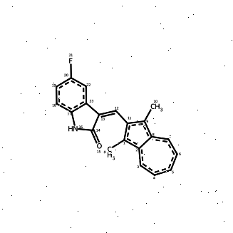 Cc1c2cccccc-2c(C)c1/C=C1\C(=O)Nc2ccc(F)cc21